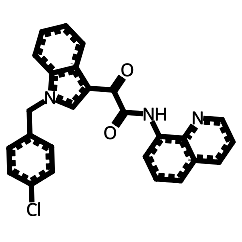 O=C(Nc1cccc2cccnc12)C(=O)c1cn(Cc2ccc(Cl)cc2)c2ccccc12